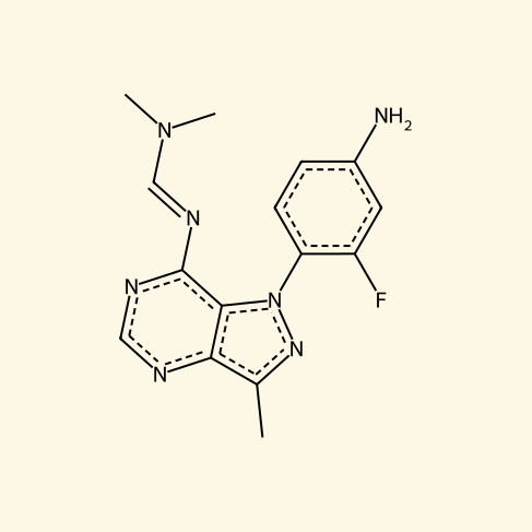 Cc1nn(-c2ccc(N)cc2F)c2c(N=CN(C)C)ncnc12